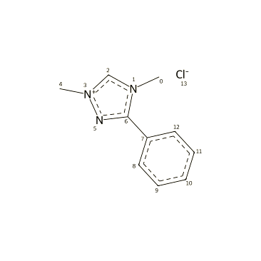 Cn1c[n+](C)nc1-c1ccccc1.[Cl-]